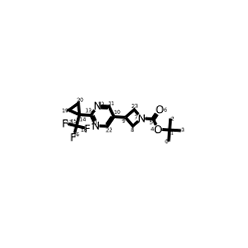 CC(C)(C)OC(=O)N1CC(c2cnc(C3(C(F)(F)F)CC3)nc2)C1